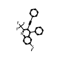 CSc1ccc2nc(C(F)(F)F)c(C#Cc3ccccc3)c(-c3ccccc3)c2c1